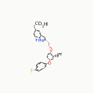 CCCc1cc(Oc2ccc(F)cc2)ccc1OCCc1cc2cc(CC(=O)O)ccc2[nH]1